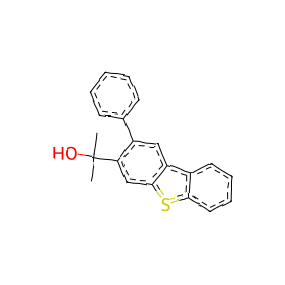 CC(C)(O)c1cc2sc3ccccc3c2cc1-c1ccccc1